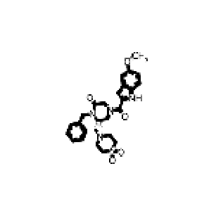 COc1ccc2[nH]c(C(=O)N3CC(=O)N(Cc4ccccc4)[C@@H](CN4CCS(=O)(=O)CC4)C3)cc2c1